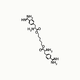 N=C(N)c1ccc(C[C@H](N)C(=O)OCCCCCCOC(=O)[C@@H](N)Cc2ccc(C(=N)N)cc2)cc1